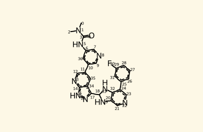 CN(C)C(=O)Nc1cncc(-c2cnc3[nH]nc(C4Nc5cncc(-c6cccc(F)c6)c5N4)c3c2)c1